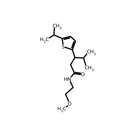 COCCNC(=O)CC(c1ccc(C(C)C)s1)C(C)C